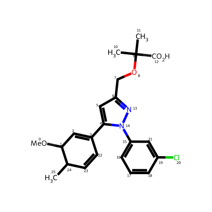 COC1C=C(c2cc(COC(C)(C)C(=O)O)nn2-c2cccc(Cl)c2)C=CC1C